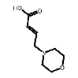 O=C(O)C=CCN1CCOCC1